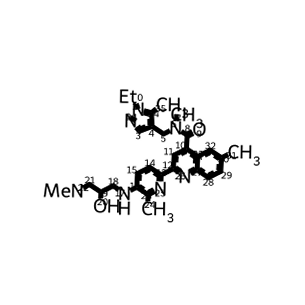 CCn1ncc(CN(C)C(=O)c2cc(-c3ccc(NCC(O)CNC)c(C)n3)nc3ccc(C)cc23)c1C